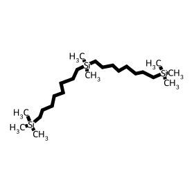 C[Si](C)(C)CCCCCCCC[Si](C)(C)CCCCCCCC[Si](C)(C)C